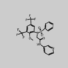 COc1c(N(CC(=O)Nc2cccnc2)S(=O)(=O)c2ccccc2)cc(C(F)(F)F)cc1C(F)(F)F